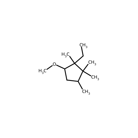 CCC1(C)C(OC)CC(C)C1(C)C